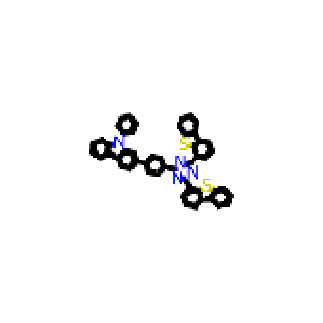 c1ccc(-n2c3ccccc3c3ccc(-c4ccc(-c5nc(-c6cccc7c6sc6ccccc67)nc(-c6cccc7c6sc6ccccc67)n5)cc4)cc32)cc1